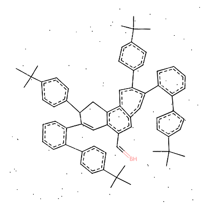 B=Cc1cc2cc(-c3ccccc3-c3ccc(C(C)(C)C)cc3)c(-c3ccc(C(C)(C)C)cc3)cc2c2c1C=C(c1ccccc1-c1ccc(C(C)(C)C)cc1)C(c1ccc(C(C)(C)C)cc1)C2